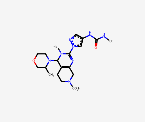 CCNC(=O)Nc1cnn(C2=NC3=C(CCN(C(=O)O)C3)C(N3CCOCC3C)N2C(C)(C)C)c1